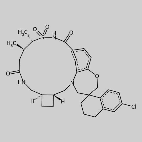 C[C@@H]1CC(=O)NC[C@@H]2CC[C@H]2CN2CC3(CCCc4cc(Cl)ccc43)COc3ccc(cc32)C(=O)NS(=O)(=O)[C@H]1C